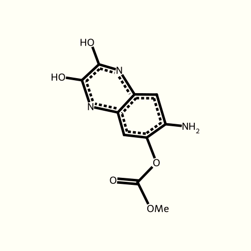 COC(=O)Oc1cc2nc(O)c(O)nc2cc1N